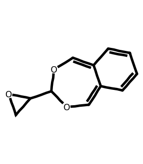 C1=c2ccccc2=COC(C2CO2)O1